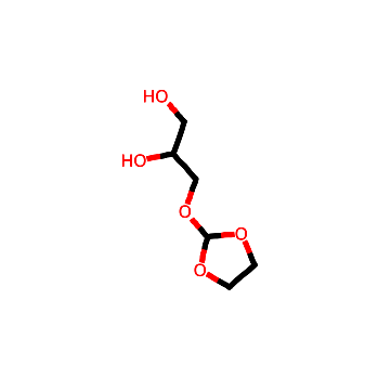 OCC(O)COC1OCCO1